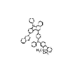 CC1(C)c2ccccc2-c2ccc(N(c3ccccc3)c3ccc(-c4cc5ccccc5c5c4c4cc(-c6ccc7ccccc7c6)ccc4n5-c4ccccc4)cc3)cc21